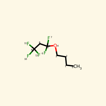 CCCCOC(F)(F)CC(F)(F)F